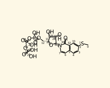 CSc1ccc2ccn([C@@H]3O[C@H](COP(=O)(O)OP(=O)(O)OP(=O)(O)O)[C@@H](O)[C@H]3O)c(=O)c2c1